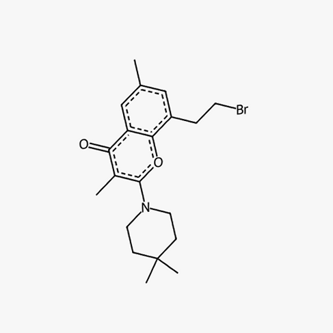 Cc1cc(CCBr)c2oc(N3CCC(C)(C)CC3)c(C)c(=O)c2c1